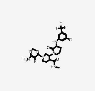 CNC(=O)C1CCN(c2ncnc(N)c2F)CC1N1CCCC(Nc2cc(Cl)cc(C(F)(F)F)c2)C1=O